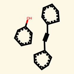 C(#Cc1ccccc1)c1ccccc1.Oc1ccccc1